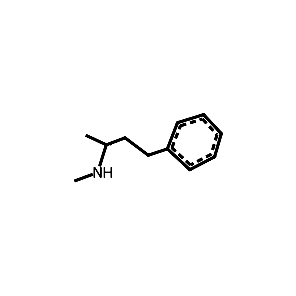 CN[C](C)CCc1ccccc1